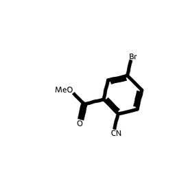 COC(=O)c1cc(Br)ccc1C#N